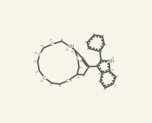 C1=C(c2c(-c3ccccc3)[nH]c3ccccc23)CC2CCCCCCCCCCNC1CC2